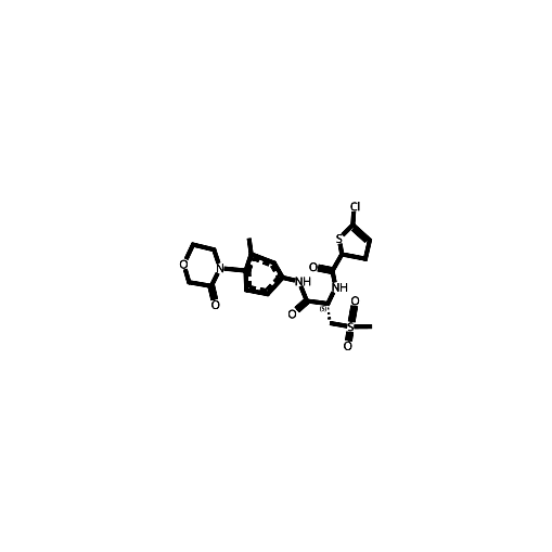 Cc1cc(NC(=O)[C@@H](CS(C)(=O)=O)NC(=O)C2CC=C(Cl)S2)ccc1N1CCOCC1=O